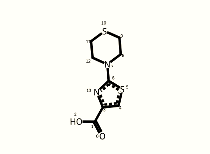 O=C(O)c1csc(N2CCSCC2)n1